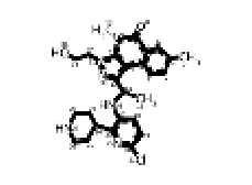 Cc1ccc2c(c1)c(=O)n(C)c1c2c(C(C)Nc2ccc(Cl)nc2C2CCNCC2)nn1CCO